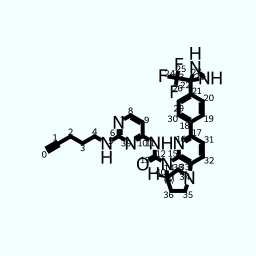 C#CCCCNc1nccc(NC(=O)N2c3nc(-c4ccc(C5(C(F)(F)F)NN5)cc4)ccc3N3CC[C@H]2C3)n1